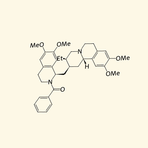 CC[C@H]1CN2CCc3cc(OC)c(OC)cc3[C@@H]2C[C@H]1C[C@@H]1c2cc(OC)c(OC)cc2CCN1C(=O)c1ccccc1